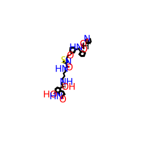 O=C(NC(c1ccccc1)c1cccc(OCc2nc(C(=O)NCCCCNC[C@@H](O)c3ccc(O)c4[nH]c(=O)ccc34)cs2)c1)O[C@H]1CN2CCC1CC2